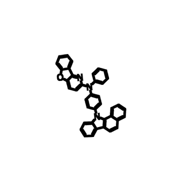 c1ccc(N(c2ccc(-n3c4ccccc4c4ccc5ccccc5c43)cc2)c2ccc3oc4ccccc4c3n2)cc1